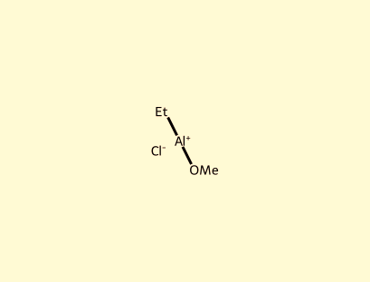 C[CH2][Al+][O]C.[Cl-]